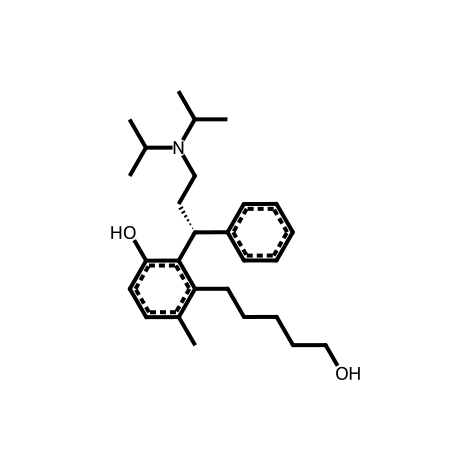 Cc1ccc(O)c([C@H](CCN(C(C)C)C(C)C)c2ccccc2)c1CCCCCO